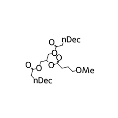 CCCCCCCCCCCC(=O)OCC(COC(=O)CCCCCCCCCCC)OC(=O)CCCOC